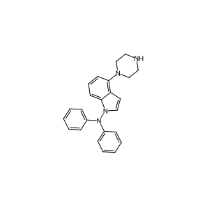 c1ccc(N(c2ccccc2)n2ccc3c(N4CCNCC4)cccc32)cc1